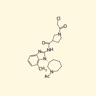 CC(=O)N1CCCC[C@@H](n2c(NC(=O)C3CCN(C(=O)CCl)C3)nc3cccc(C)c32)C1